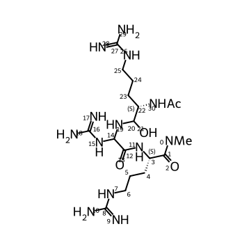 CNC(=O)[C@H](CCCNC(=N)N)NC(=O)C(NC(=N)N)NC(O)[C@H](CCCNC(=N)N)NC(C)=O